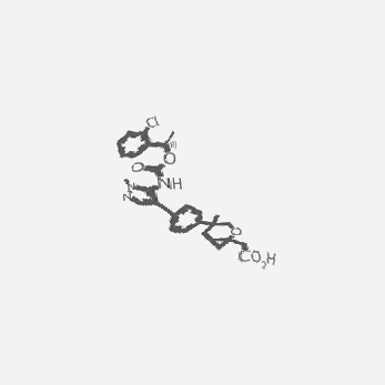 C[C@@H](OC(=O)Nc1c(-c2ccc(C3(C)COC4(CC(=O)O)CC4C3)cc2)cnn1C)c1ccccc1Cl